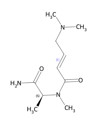 C[C@@H](C(N)=O)N(C)C(=O)/C=C/CN(C)C